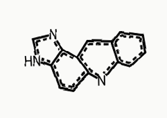 c1ccc2nc3ccc4[nH]cnc4c3cc2c1